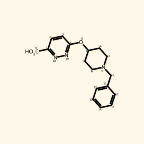 O=C(O)c1ccc(OC2CCN(Cc3ccccc3)CC2)nn1